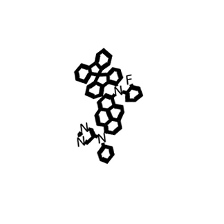 Fc1ccccc1N(c1cccc2c1-c1ccccc1C21c2ccccc2-c2ccccc21)c1ccc2ccc3c(N(c4ccccc4)c4cncnc4)ccc4ccc1c2c43